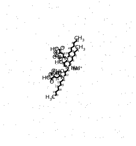 CCCCCCCCN(CC(O)CN(CCCCCCCC)C(=O)CC(C(=O)O)S(=O)(=O)[O-])CC(O)CN(CCCCCCCC)C(=O)CC(C(=O)O)S(=O)(=O)[O-].[Na+].[Na+]